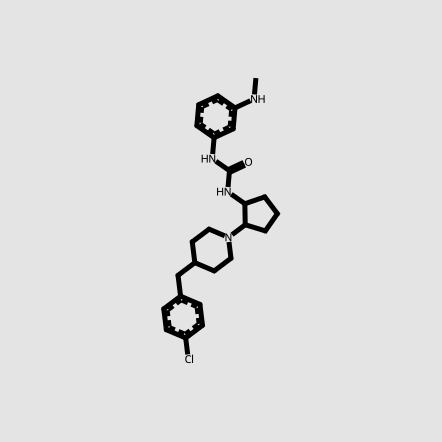 CNc1cccc(NC(=O)NC2CCCC2N2CCC(Cc3ccc(Cl)cc3)CC2)c1